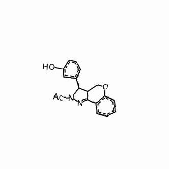 CC(=O)N1N=C2c3ccccc3OCC2C1c1cccc(O)c1